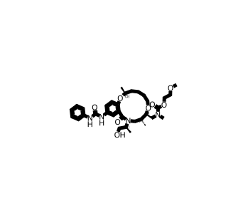 COCCOC(=O)N(C)C[C@@H]1OCCCC[C@H](C)Oc2ccc(NC(=O)Nc3ccccc3)cc2C(=O)N([C@@H](C)CO)C[C@H]1C